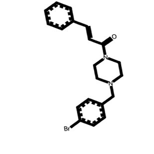 O=C(C=Cc1ccccc1)N1CCN(Cc2ccc(Br)cc2)CC1